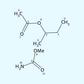 CCC(C)OC(C)=O.COC(N)=O